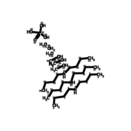 CCCCNCCCC.CCCCNCCCC.CCCCNCCCC.CO.CO.CO.O.O.O.O=P(O)(O)O